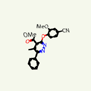 COC(=O)c1c(Oc2ccc(C#N)cc2OC)nnc(-c2ccccc2)c1C